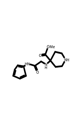 COC(=O)C1(NCC(=O)Nc2ccccc2)CCNCC1